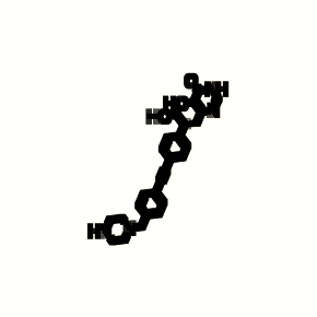 O=c1[nH]cnc(C[C@H](CO)c2ccc(C#Cc3ccc(CN4CCNCC4)cc3)cc2)c1O